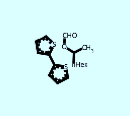 CCCCCCC(C)OC=O.c1csc(-c2cccs2)c1